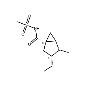 CC[C@@H]1C[C@@]2(C(=O)NS(C)(=O)=O)CC2N1C